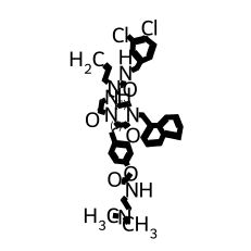 C=CCN(C(=O)NCc1ccc(Cl)c(Cl)c1)N1CC(=O)N2[C@@H](Cc3ccc(OC(=O)NCCN(C)C)cc3)C(=O)N(Cc3cccc4ccccc34)C[C@@H]21